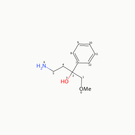 COCC(O)(CCN)c1ccccc1